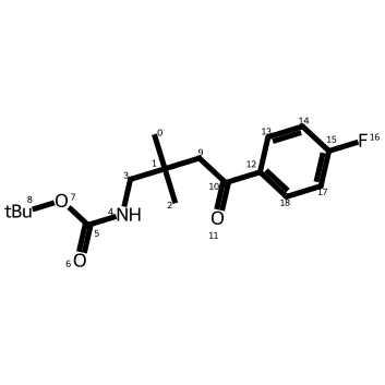 CC(C)(CNC(=O)OC(C)(C)C)CC(=O)c1ccc(F)cc1